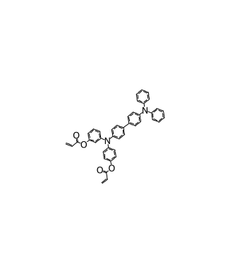 C=CC(=O)Oc1ccc(N(c2ccc(-c3ccc(N(c4ccccc4)c4ccccc4)cc3)cc2)c2cccc(OC(=O)C=C)c2)cc1